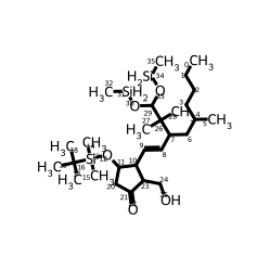 CCCCC(C)CC(C=CC1C(O[Si](C)(C)C(C)(C)C)CC(=O)C1CO)C(C)(C)C(O[SiH2]C)O[SiH2]C